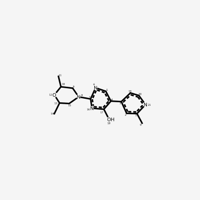 Cc1cc(-c2cnc(N3CC(C)OC(C)C3)nc2O)ccn1